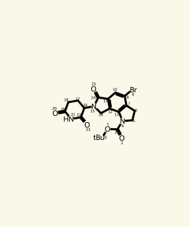 CC(C)(C)OC(=O)N1CCc2c(Br)cc3c(c21)CN(C1CCC(=O)NC1=O)C3=O